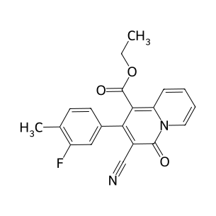 CCOC(=O)c1c(-c2ccc(C)c(F)c2)c(C#N)c(=O)n2ccccc12